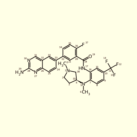 CN1CC[C@H](N(C)c2ccc(C(F)(F)F)cc2NC(=O)c2cc(-c3ccc4nc(N)ncc4c3)ccc2F)C1